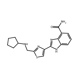 NC(=O)c1cccc2[nH]c(-c3csc(CNC4CCCC4)n3)nc12